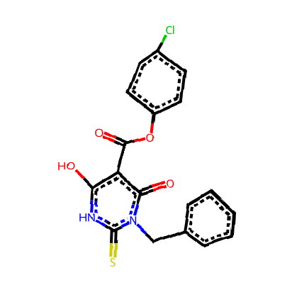 O=C(Oc1ccc(Cl)cc1)c1c(O)[nH]c(=S)n(Cc2ccccc2)c1=O